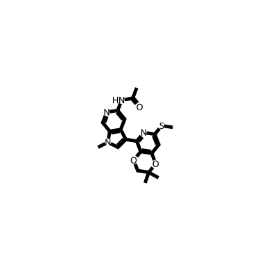 CSc1cc2c(c(-c3cn(C)c4cnc(NC(C)=O)cc34)n1)OCC(C)(C)O2